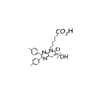 Cc1ccc(-c2nc3c(nc2-c2ccc(C)cc2)N(CCCCCCC(=O)O)C(=O)[C@H](C(C)(C)O)C3)cc1